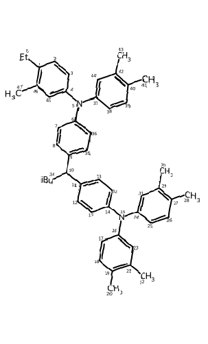 CCc1ccc(N(c2ccc(C(c3ccc(N(c4ccc(C)c(C)c4)c4ccc(C)c(C)c4)cc3)C(C)CC)cc2)c2ccc(C)c(C)c2)cc1C